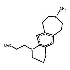 COCCN1CCCc2cc3c(cc21)CCN(N)CC3